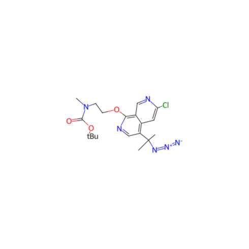 CN(CCOc1ncc(C(C)(C)N=[N+]=[N-])c2cc(Cl)ncc12)C(=O)OC(C)(C)C